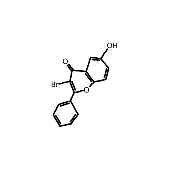 O=c1c(Br)c(-c2ccccc2)oc2ccc(O)cc12